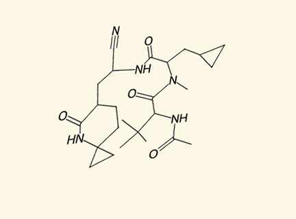 CC(=O)NC(C(=O)N(C)C(CC1CC1)C(=O)NC(C#N)CC1CCC2(CC2)NC1=O)C(C)(C)C